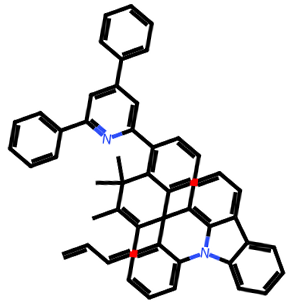 C=C/C=C\C1=C(C)C(C)(C)c2c(-c3cc(-c4ccccc4)cc(-c4ccccc4)n3)cccc2C12c1ccccc1-n1c3ccccc3c3cccc2c31